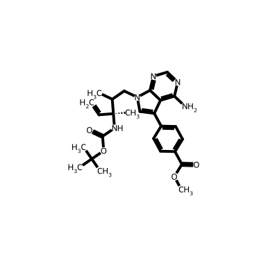 C=C[C@](C)(NC(=O)OC(C)(C)C)C(C)Cn1cc(-c2ccc(C(=O)OC)cc2)c2c(N)ncnc21